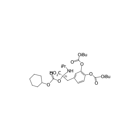 CC(C)COC(=O)Oc1ccc(C[C@](NC(C)C)(OC(=O)OC2CCCCC2)C(=O)O)cc1OC(=O)OCC(C)C